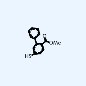 COC(=O)c1ccc(S)cc1-c1ccccc1